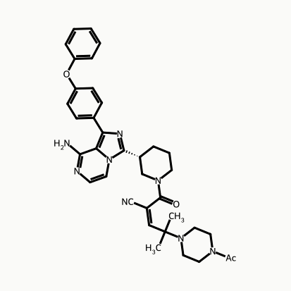 CC(=O)N1CCN(C(C)(C)/C=C(/C#N)C(=O)N2CCC[C@@H](c3nc(-c4ccc(Oc5ccccc5)cc4)c4c(N)nccn34)C2)CC1